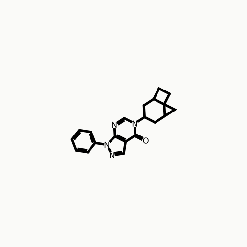 O=c1c2cnn(-c3ccccc3)c2ncn1C1CC2CCC23CC3C1